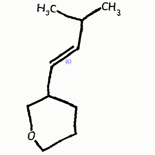 CC(C)/C=C/C1CCCOC1